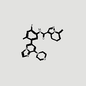 Cc1cc(F)c(NC(=O)c2cnn3c2CCCC3C)cc1-c1cc(N2CCOCC2)c2nccn2c1